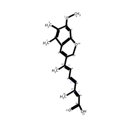 COc1cc2c(c(C)c1C)C=C(/C(C)=C/C=C/C(C)=C/C(=O)O)CO2